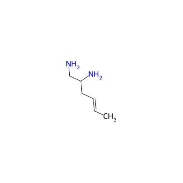 CC=CCC(N)CN